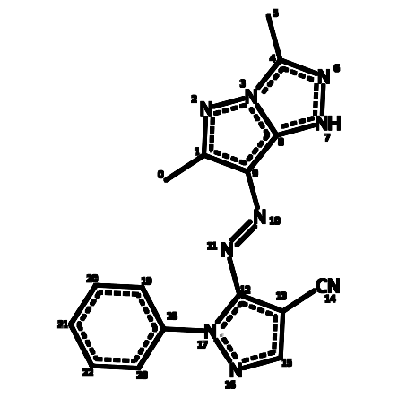 Cc1nn2c(C)n[nH]c2c1/N=N/c1c(C#N)cnn1-c1ccccc1